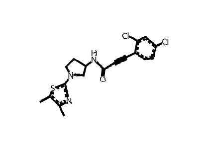 Cc1nc(N2CCC(NC(=O)C#Cc3ccc(Cl)cc3Cl)C2)sc1C